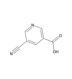 N#Cc1cncc(C(=O)O)c1